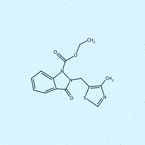 CCOC(=O)n1c2ccccc2c(=O)n1Cc1scnc1C